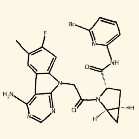 Cc1cc2c3c(N)ncnc3n(CC(=O)N3[C@@H]4C[C@@H]4C[C@H]3C(=O)Nc3cccc(Br)n3)c2cc1F